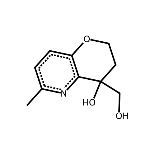 Cc1ccc2c(n1)C(O)(CO)CCO2